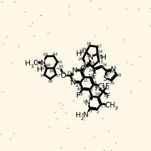 Cc1cc(N)nc(-c2c(Cl)cc3c(N4CC[C@@H]5CC[C@H](C4)N5C(=O)/C(F)=C/c4nccs4)nc(OC[C@]45CCC[C@H]4N(C)CCC5)nc3c2F)c1C(F)(F)F